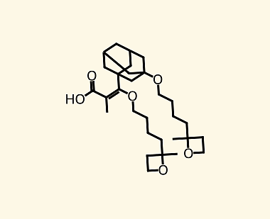 CC(C(=O)O)=C(OCCCCC1(C)CCO1)C12CC3CC(CC(OCCCCC4(C)CCO4)(C3)C1)C2